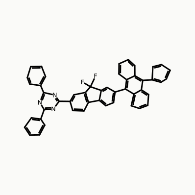 FC1(F)c2cc(-c3nc(-c4ccccc4)nc(-c4ccccc4)n3)ccc2-c2ccc(-c3c4ccccc4c(-c4ccccc4)c4ccccc34)cc21